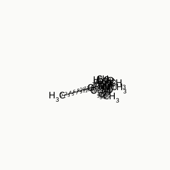 CCCCCCCCCCCCCCOC(=O)c1ccc(OC)c(NC(=O)C(C(=O)c2ccccc2C)N2C(=O)C(=C(C)C)N(C(C)=O)C2=O)c1